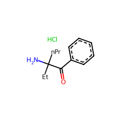 CCCC(N)(CC)C(=O)c1ccccc1.Cl